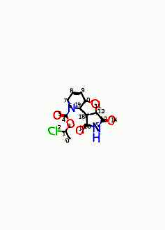 CC(Cl)OC(=O)N1CC=CC2OC3C(=O)NC(=O)C3C21